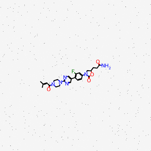 CC(C)=CC(=O)N1CCN(c2ncc(-c3ccc(N4CC(CCC(N)=O)OC4=O)cc3F)cn2)CC1